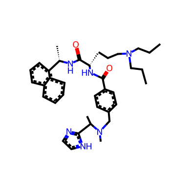 CCCN(CCC)CCC[C@H](NC(=O)c1ccc(CN(C)C(C)c2ncc[nH]2)cc1)C(=O)N[C@@H](C)c1cccc2ccccc12